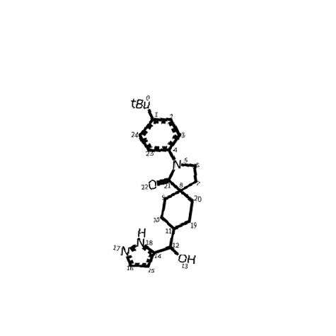 CC(C)(C)c1ccc(N2CCC3(CCC(C(O)c4ccn[nH]4)CC3)C2=O)cc1